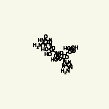 Nc1nc2c(ncn2C2OC(COP(=O)(O)OC3C(O)C(COP(=O)(O)O)OC3n3cnc4c(N)ncnc43)C(O)C2O)c(=O)[nH]1